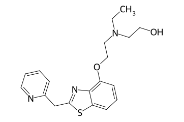 CCN(CCO)CCOc1cccc2sc(Cc3ccccn3)nc12